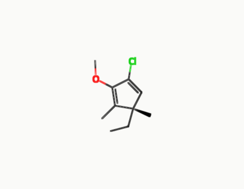 CC[C@@]1(C)C=C(Cl)C(OC)=C1C